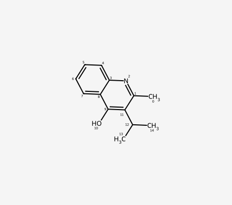 Cc1nc2ccccc2c(O)c1C(C)C